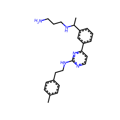 Cc1ccc(CCNc2nccc(-c3cccc(C(C)NCCCN)c3)n2)cc1